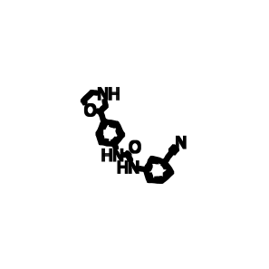 N#Cc1cccc(NC(=O)Nc2ccc(C3CNCCO3)cc2)c1